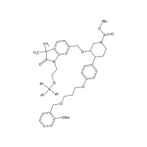 COc1ccccc1COCCCOc1ccc(C2CCN(C(=O)OC(C)(C)C)CC2OCc2ccc3c(c2)N(CCO[Si](C(C)C)(C(C)C)C(C)C)C(=O)C3(C)C)cc1